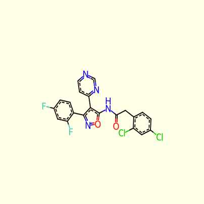 O=C(Cc1ccc(Cl)cc1Cl)Nc1onc(-c2ccc(F)cc2F)c1-c1ccncn1